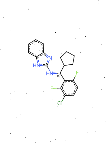 Fc1ccc(Cl)c(F)c1[C@@H](Nc1nc2ccccc2[nH]1)C1CCCC1